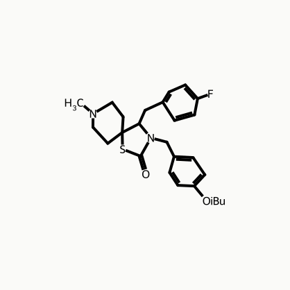 CC(C)COc1ccc(CN2C(=O)SC3(CCN(C)CC3)C2Cc2ccc(F)cc2)cc1